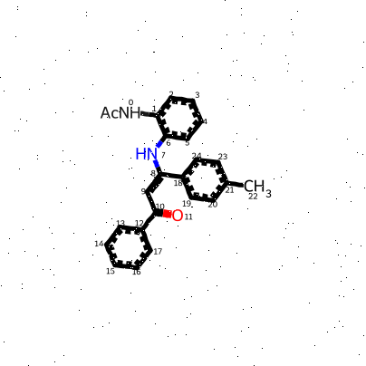 CC(=O)Nc1ccccc1NC(=CC(=O)c1ccccc1)c1ccc(C)cc1